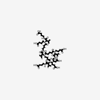 CC(C)C(C(=O)NCCCC(=O)O)N(CCCC(=O)O)C(=O)CCCNC(=O)C(C(C)C)N(CCCC(=O)N(CCCC(=O)O)C(C(=O)NCCCC(=O)O)C(C)C)C(=O)CCCC(=O)N(CCCC(=O)O)C(C(=O)NCCCC(=O)O)C(C)C